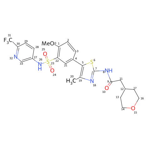 COc1ccc(-c2sc(NC(=O)CC3CCOCC3)nc2C)cc1S(=O)(=O)Nc1ccc(C(F)(F)F)nc1